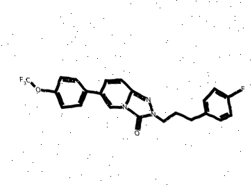 O=c1n(CCCc2ccc(F)cc2)nc2ccc(-c3ccc(OC(F)(F)F)cc3)cn12